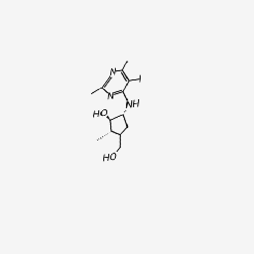 Cc1nc(C)c(I)c(N[C@@H]2CC(CO)[C@H](C)[C@H]2O)n1